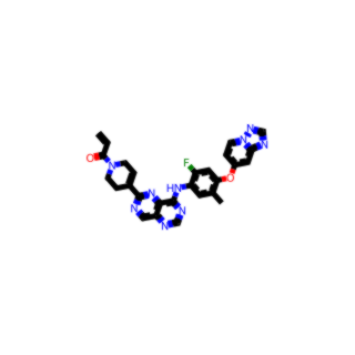 C=CC(=O)N1CC=C(c2ncc3ncnc(Nc4cc(C)c(Oc5ccn6ncnc6c5)cc4F)c3n2)CC1